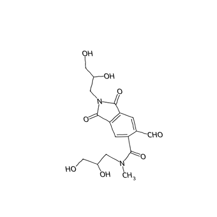 CN(CC(O)CO)C(=O)c1cc2c(cc1C=O)C(=O)N(CC(O)CO)C2=O